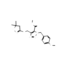 COC(=O)c1c(CSC2=NOC(C)(C)C2)nnn1Cc1ccc(OC)cc1